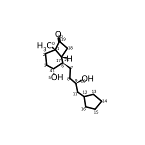 C[C@]12CC[C@@H](O)[C@H](CC[C@@H](O)CC3CCCC3)[C@H]1CC2=O